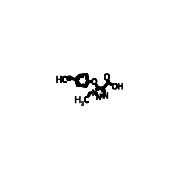 C#Cc1ccc(Oc2c(C(=O)O)nnn2CC)cc1